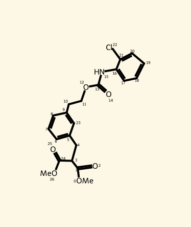 COC(=O)C(Cc1cccc(CCOC(=O)Nc2ccccc2Cl)c1)C(=O)OC